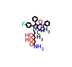 CC(C)c1c(C(=O)Nc2ccccc2)c(-c2ccccc2)c(-c2ccc(F)cc2)n1CCC(O)CC(O)CC(N)=O